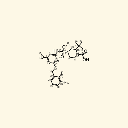 COc1cc(NS(=O)(=O)N2CCN(C(=O)O)C(C(C)(C)C)[C@H]2C)nc(SCc2cccc(F)c2F)n1